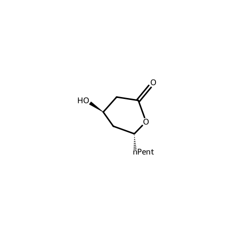 CCCCC[C@@H]1C[C@@H](O)CC(=O)O1